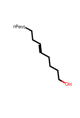 CCCCCCCC=CCCCCO